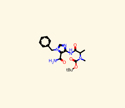 CC(C(=O)Nc1ncn(Cc2ccccc2)c1C(N)=O)N(C)C(=O)OC(C)(C)C